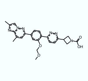 COCOc1cc(-c2cc(C)c3nc(C)cn3n2)ccc1-c1ccc(C2CN(C(=O)O)C2)nn1